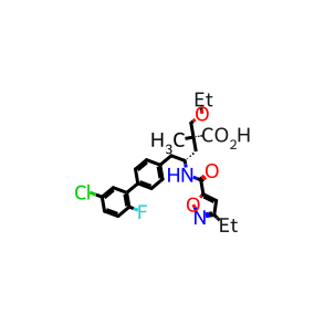 CCOC[C@](C)(C[C@@H](Cc1ccc(-c2cc(Cl)ccc2F)cc1)NC(=O)c1cc(CC)no1)C(=O)O